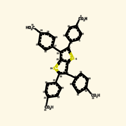 O=C(O)c1ccc(-c2sc3c(-c4ccc(C(=O)O)cc4)c(-c4ccc(C(=O)O)cc4)sc3c2-c2ccc(C(=O)O)cc2)cc1